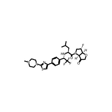 CC(C)C[C@H](N[C@@H](c1ccc(-c2csc(N3CCN(C)CC3)n2)cc1)C(F)(F)F)C(=O)N1C[C@H](F)[C@H]2OCC(=O)[C@H]21